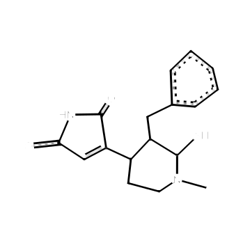 CN1CCC(C2=CC(=O)NC2=O)C(Cc2ccccc2)C1S